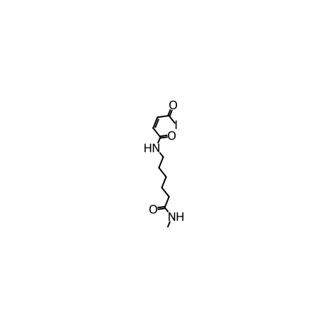 CNC(=O)CCCCCNC(=O)/C=C\C(=O)I